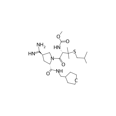 COC(=O)N[C@@H](C(=O)N1C[C@H](C(=N)N)C[C@H]1C(=O)NCC1CCCCC1)C(C)(C)SCC(C)C